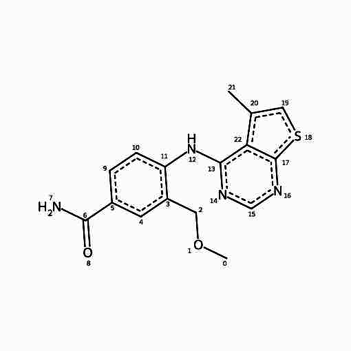 COCc1cc(C(N)=O)ccc1Nc1ncnc2scc(C)c12